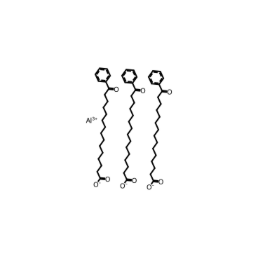 O=C([O-])CCCCCCCCCCCCCC(=O)c1ccccc1.O=C([O-])CCCCCCCCCCCCCC(=O)c1ccccc1.O=C([O-])CCCCCCCCCCCCCC(=O)c1ccccc1.[Al+3]